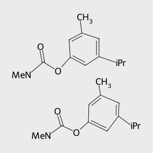 CNC(=O)Oc1cc(C)cc(C(C)C)c1.CNC(=O)Oc1cc(C)cc(C(C)C)c1